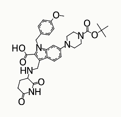 COc1ccc(Cn2c(C(=O)O)c(CNC3CCC(=O)NC3=O)c3ccc(N4CCN(C(=O)OC(C)(C)C)CC4)cc32)cc1